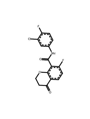 O=C1CCOc2c1ccc(F)c2C(=O)Nc1ccc(F)c(Cl)c1